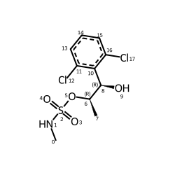 CNS(=O)(=O)O[C@H](C)[C@H](O)c1c(Cl)cccc1Cl